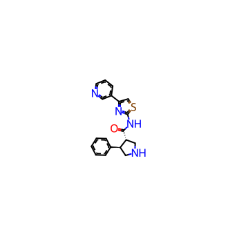 O=C(Nc1nc(-c2cccnc2)cs1)[C@@H]1CNC[C@H]1c1ccccc1